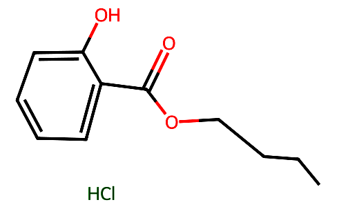 CCCCOC(=O)c1ccccc1O.Cl